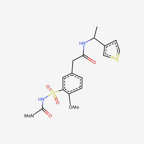 CNC(=O)NS(=O)(=O)c1cc(CC(=O)NC(C)c2ccsc2)ccc1OC